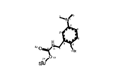 CN(C)c1ccc(Br)c(CNC(=O)OC(C)(C)C)c1